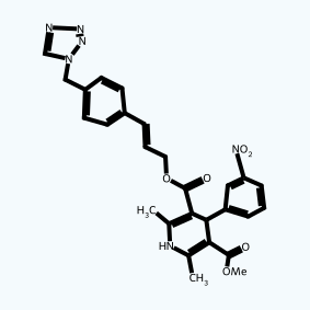 COC(=O)C1=C(C)NC(C)=C(C(=O)OCC=Cc2ccc(Cn3cnnn3)cc2)C1c1cccc([N+](=O)[O-])c1